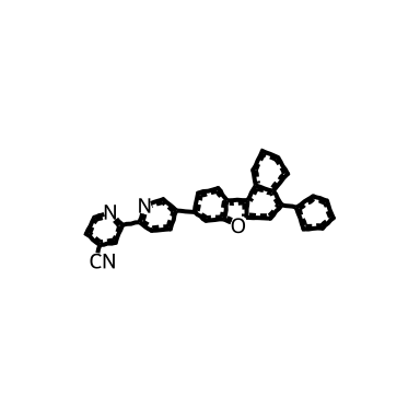 N#Cc1ccnc(-c2ccc(-c3ccc4c(c3)oc3cc(-c5ccccc5)c5ccccc5c34)cn2)c1